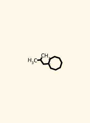 CC(C)C[C]1CCCCCCC1